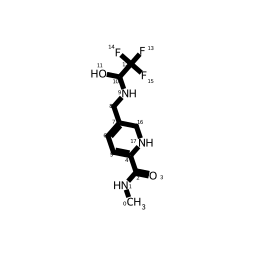 CNC(=O)C1=CC=C(CNC(O)C(F)(F)F)CN1